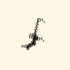 CCCCCCCCCCCCCNC(=O)N[C@H]1CN(c2nnc(-c3ccc(C(=O)O)cc3)o2)C[C@@H]1OC